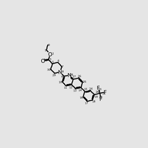 CCOC(=O)C1CCN(c2ccc3cc(-c4cccc(C(F)(F)F)c4)ccc3n2)CC1